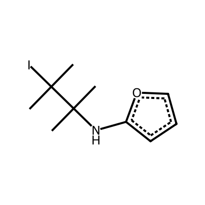 CC(C)(I)C(C)(C)Nc1ccco1